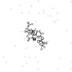 C=C1CC[C@@]2(O)C3Cc4ccc(OC(=O)NC(C)(C)C)c5c4[C@@]2(CCN3CC2CC2)[C@H]1O5